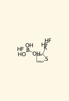 F.F.F.OB(O)O.[K][c]1cccs1